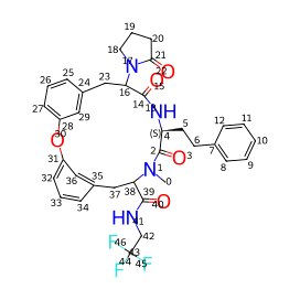 CN1C(=O)[C@H](CCc2ccccc2)NC(=O)C(N2CCCC2=O)Cc2cccc(c2)Oc2cccc(c2)CC1C(=O)NCC(F)(F)F